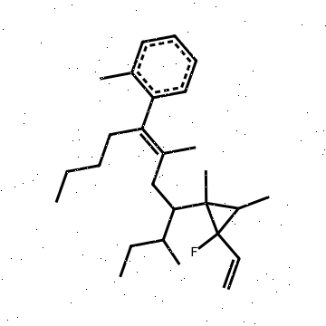 C=CC1(F)C(C)C1(C)C(C/C(C)=C(\CCCC)c1ccccc1C)C(C)CC